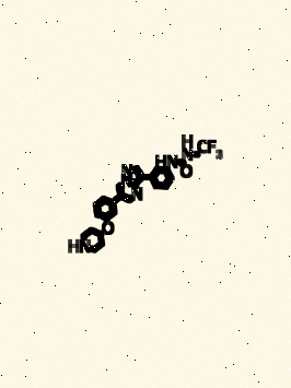 O=C(NCC(F)(F)F)Nc1cccc(-c2cnn3cc(-c4cccc(OC5CCNCC5)c4)cnc23)c1